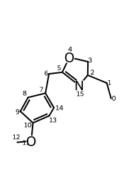 CCC1COC(Cc2ccc(OC)cc2)=N1